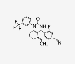 CC=C1CCCC2=C1C(c1ccc(C#N)cc1F)NC(=O)N2c1cccc(C(F)(F)F)c1